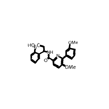 COc1cccc(-c2nc(C(=O)NC(CC(=O)O)c3ccccc3F)ccc2OC)c1